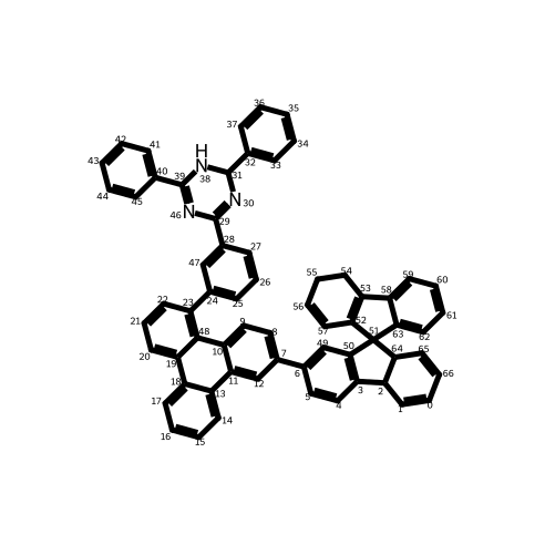 C1=CC2c3ccc(-c4ccc5c(c4)c4ccccc4c4cccc(-c6cccc(C7=NC(c8ccccc8)NC(c8ccccc8)=N7)c6)c45)cc3C3(C4=C(CCC=C4)c4ccccc43)C2C=C1